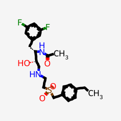 CCc1ccc(CS(=O)(=O)CCNC[C@H](O)[C@H](Cc2cc(F)cc(F)c2)NC(C)=O)cc1